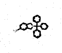 Bc1ccc2c(c1)CN(C(c1ccccc1)(c1ccccc1)c1ccccc1)C2